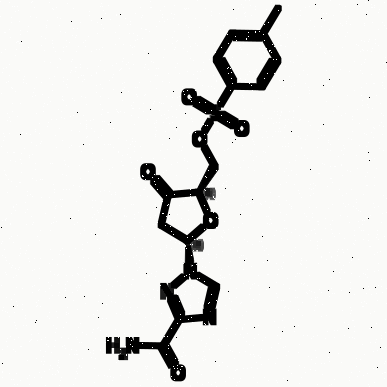 Cc1ccc(S(=O)(=O)OC[C@H]2O[C@@H](n3cnc(C(N)=O)n3)CC2=O)cc1